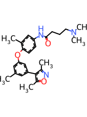 Cc1cc(Oc2ccc(NC(=O)CCCN(C)C)cc2C)cc(-c2c(C)noc2C)c1